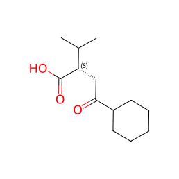 CC(C)[C@H](CC(=O)C1CCCCC1)C(=O)O